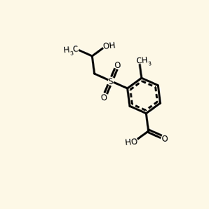 Cc1ccc(C(=O)O)cc1S(=O)(=O)CC(C)O